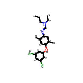 CCCN(/C=N/c1cc(C)c(Oc2cc(Br)cc(Br)c2)cc1C)CC